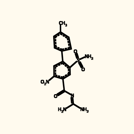 Cc1ccc(-c2cc([N+](=O)[O-])c(C(=O)N=C(N)N)cc2S(N)(=O)=O)cc1